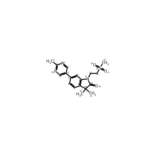 Cc1ncc(-c2ccc3c(c2)N(CCS(C)(=O)=O)C(=O)C3(C)C)cn1